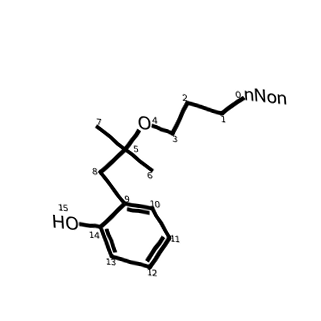 CCCCCCCCCCCCOC(C)(C)Cc1ccccc1O